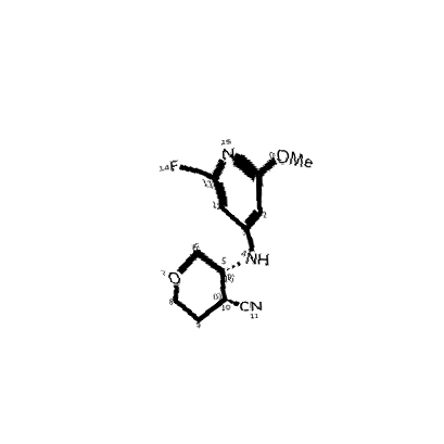 COc1cc(N[C@H]2COCC[C@@H]2C#N)cc(F)n1